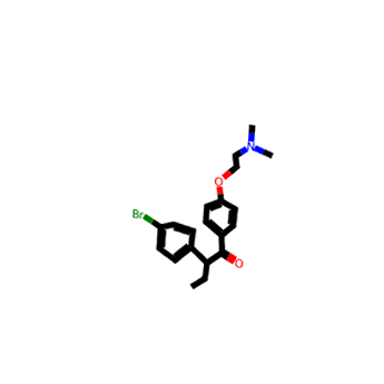 CCC(C(=O)c1ccc(OCCN(C)C)cc1)c1ccc(Br)cc1